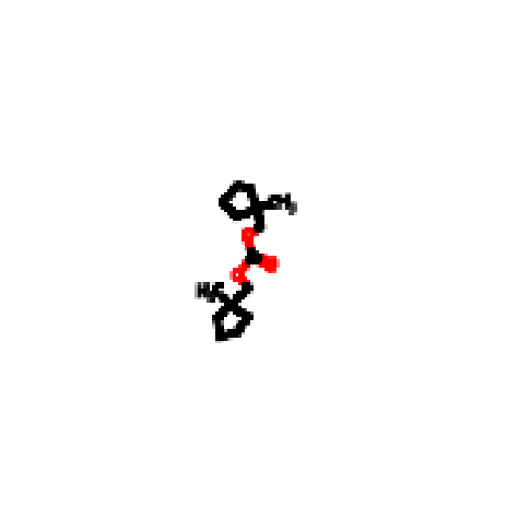 CC1(COC(=O)OCC2(C)CCCC2)CCCC1